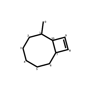 CC1CCCCCC2C=CC12